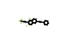 Fc1cc2cc(C#Cc3ccccc3)ccc2c(F)c1C#CC(F)(F)F